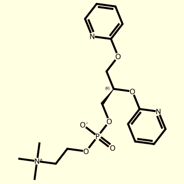 C[N+](C)(C)CCOP(=O)([O-])OC[C@@H](COc1ccccn1)Oc1ccccn1